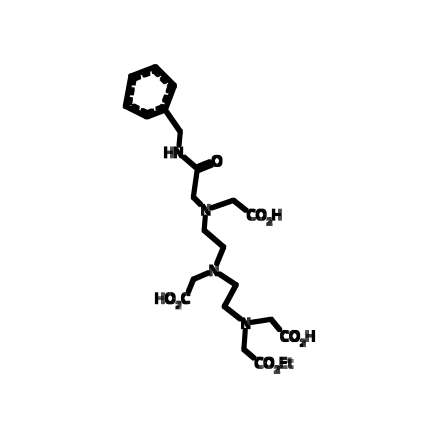 CCOC(=O)CN(CCN(CCN(CC(=O)O)CC(=O)NCc1ccccc1)CC(=O)O)CC(=O)O